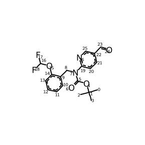 CC(C)(C)OC(=O)N(Cc1ccccc1OC(F)F)c1ccc(C=O)cn1